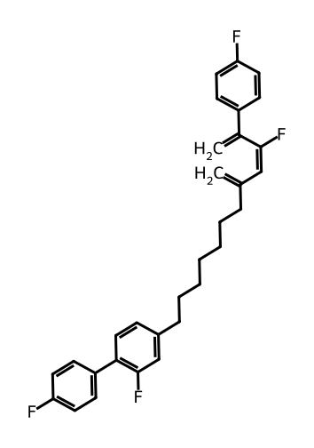 C=C(/C=C(/F)C(=C)c1ccc(F)cc1)CCCCCCCc1ccc(-c2ccc(F)cc2)c(F)c1